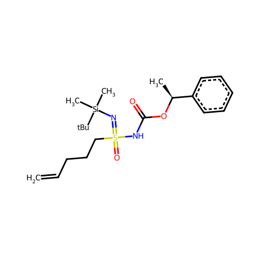 C=CCCCS(=O)(=N[Si](C)(C)C(C)(C)C)NC(=O)O[C@@H](C)c1ccccc1